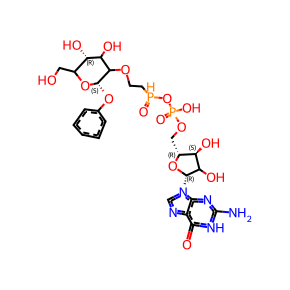 Nc1nc2c(ncn2[C@@H]2O[C@H](COP(=O)(O)O[PH](=O)CCOC3C(O)[C@@H](O)C(CO)O[C@H]3Oc3ccccc3)[C@@H](O)C2O)c(=O)[nH]1